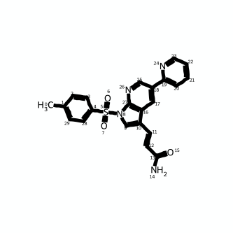 Cc1ccc(S(=O)(=O)n2cc(C=CC(N)=O)c3cc(-c4ccccn4)cnc32)cc1